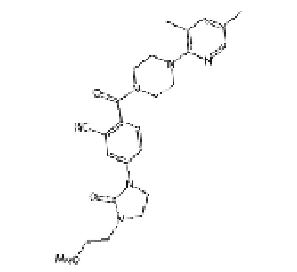 COCCN1CCN(c2ccc(C(=O)N3CCN(c4ncc(C)cc4C)CC3)c(C#N)c2)C1=O